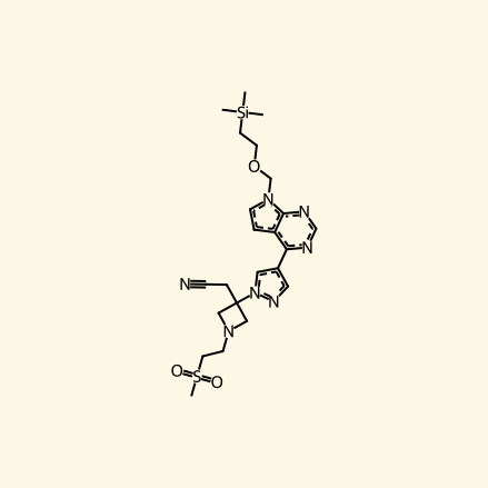 C[Si](C)(C)CCOCn1ccc2c(-c3cnn(C4(CC#N)CN(CCS(C)(=O)=O)C4)c3)ncnc21